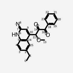 CCc1ccc2[nH]c(=[N])cc(C(OC)C(=O)C(=O)c3ccccc3)c2c1